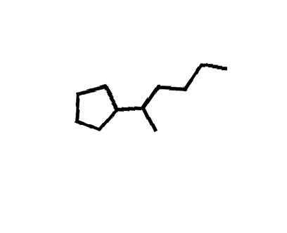 CCCC[C](C)C1CCCC1